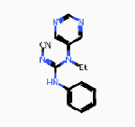 CCN(C(=NC#N)Nc1ccccc1)c1cncnc1